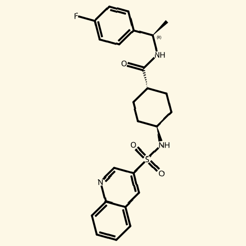 C[C@@H](NC(=O)[C@H]1CC[C@H](NS(=O)(=O)c2cnc3ccccc3c2)CC1)c1ccc(F)cc1